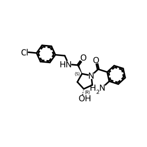 Nc1ccccc1C(=O)N1C[C@H](O)C[C@H]1C(=O)NCc1ccc(Cl)cc1